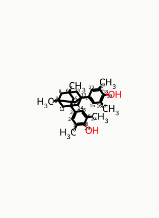 Cc1cc(C23CC4(C)CC(C)(C2)CC(c2cc(C)c(O)c(C)c2)(C4)C3)cc(C)c1O